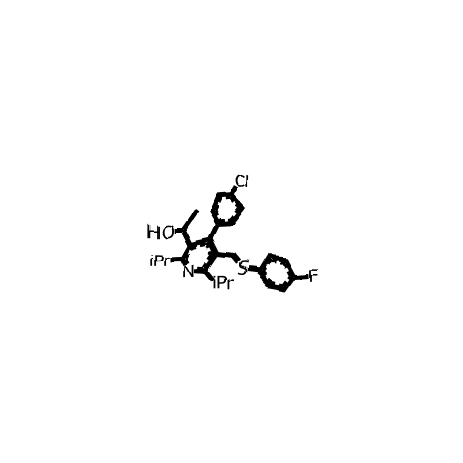 CC(C)c1nc(C(C)C)c(C(C)O)c(-c2ccc(Cl)cc2)c1CSc1ccc(F)cc1